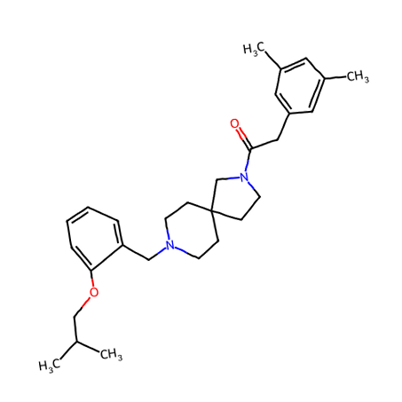 Cc1cc(C)cc(CC(=O)N2CCC3(CCN(Cc4ccccc4OCC(C)C)CC3)C2)c1